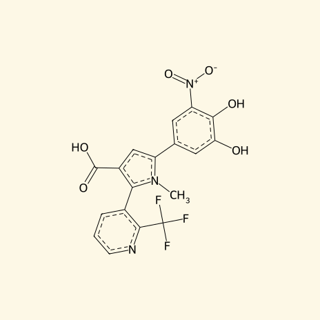 Cn1c(-c2cc(O)c(O)c([N+](=O)[O-])c2)cc(C(=O)O)c1-c1cccnc1C(F)(F)F